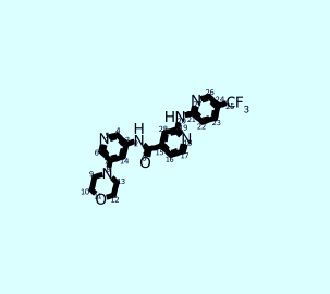 O=C(Nc1cncc(N2CCOCC2)c1)c1ccnc(Nc2ccc(C(F)(F)F)cn2)c1